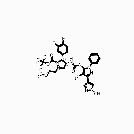 COCCN1C[C@@H](NC(=O)Nc2c(C)c(-c3cnn(C)c3)nn2-c2ccccc2)[C@H](c2ccc(F)c(F)c2)N1C(=O)OC(C)(C)C